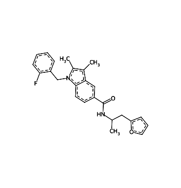 Cc1c(C)n(Cc2ccccc2F)c2ccc(C(=O)NC(C)Cc3ccco3)cc12